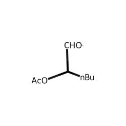 CCCCC([C]=O)OC(C)=O